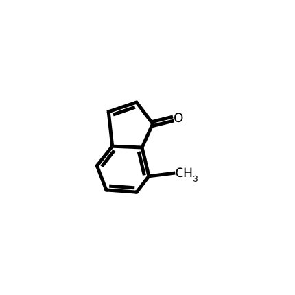 Cc1cccc2c1C(=O)C=C2